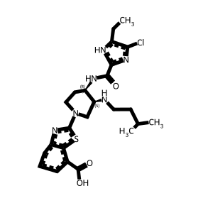 CCc1[nH]c(C(=O)N[C@@H]2CCN(c3nc4cccc(C(=O)O)c4s3)C[C@@H]2NCCC(C)C)nc1Cl